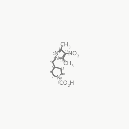 Cc1nn(CC2CCN(C(=O)O)CC2)c(C)c1[N+](=O)[O-]